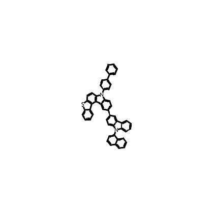 c1ccc(-c2ccc(-n3c4ccc(-c5ccc6c(c5)c5ccccc5n6-c5cccc6ccccc56)cc4c4c5c(ccc43)sc3ccccc35)cc2)cc1